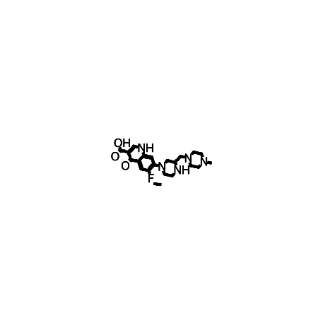 CC.CN1CCN(CC2CN(c3cc4[nH]cc(C(=O)O)c(=O)c4cc3F)CCN2)CC1